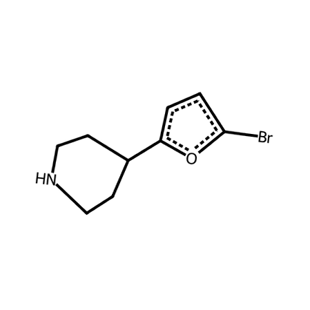 Brc1ccc(C2CCNCC2)o1